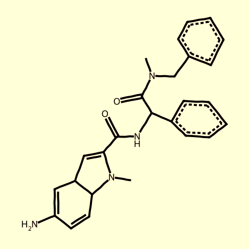 CN(Cc1ccccc1)C(=O)C(NC(=O)C1=CC2C=C(N)C=CC2N1C)c1ccccc1